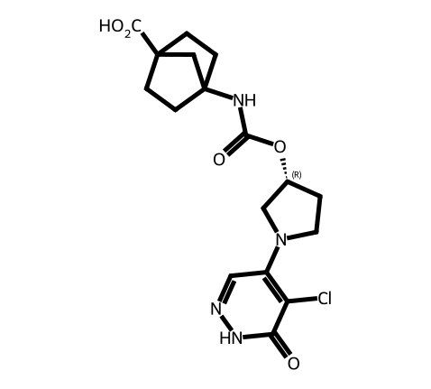 O=C(NC12CCC(C(=O)O)(CC1)C2)O[C@@H]1CCN(c2cn[nH]c(=O)c2Cl)C1